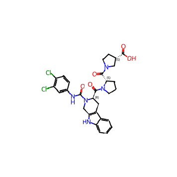 O=C(O)[C@H]1CCN(C(=O)[C@@H]2CCCN2C(=O)[C@H]2Cc3c([nH]c4ccccc34)CN2C(=O)Nc2ccc(Cl)c(Cl)c2)C1